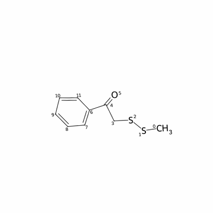 CSSCC(=O)c1ccccc1